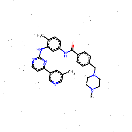 CCN1CCN(Cc2ccc(C(=O)Nc3ccc(C)c(Nc4nccc(-c5cncc(C)c5)n4)c3)cc2)CC1